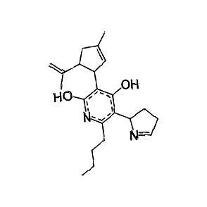 C=C(C)C1CC(C)=CC1c1c(O)nc(CCCC)c(C2CCC=N2)c1O